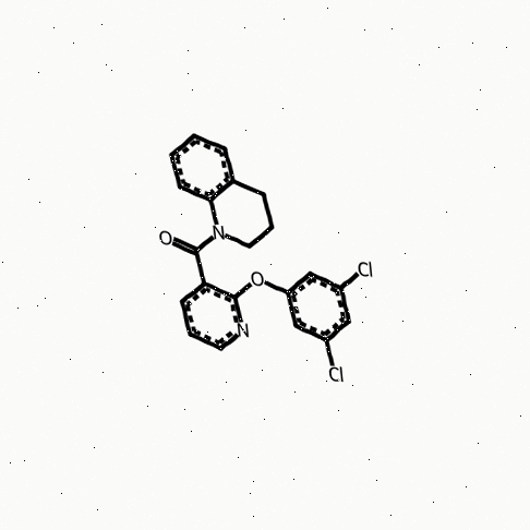 O=C(c1cccnc1Oc1cc(Cl)cc(Cl)c1)N1CCCc2ccccc21